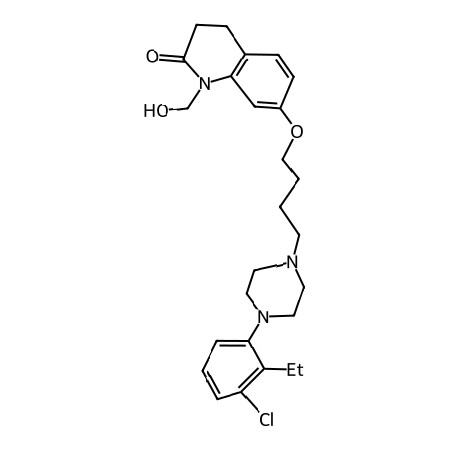 CCc1c(Cl)cccc1N1CCN(CCCCOc2ccc3c(c2)N(CO)C(=O)CC3)CC1